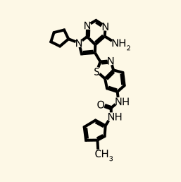 Cc1cccc(NC(=O)Nc2ccc3nc(-c4cn(C5CCCC5)c5ncnc(N)c45)sc3c2)c1